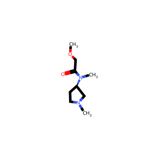 COCC(=O)N(C)[C@@H]1CCN(C)C1